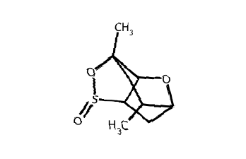 CC1C2CC3C(O2)C1(C)OS3=O